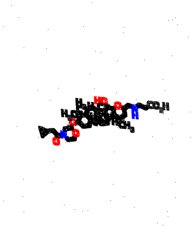 C[C@@H]1CC(CNCCC(=O)O)OC2[C@H]1[C@@]1(C)CCC34C[C@@]35CC[C@H](O[C@H]3CN(C(=O)CC6CC6)CCO3)C(C)(C)C5CCC4[C@]1(C)[C@H]2O